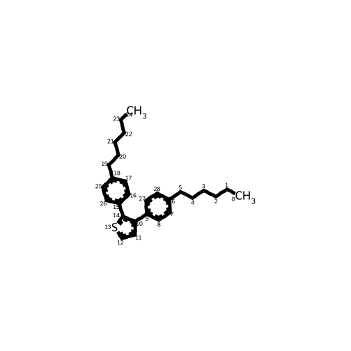 CCCCCCc1ccc(-c2ccsc2-c2ccc(CCCCCC)cc2)cc1